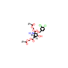 CC(C)C(=O)OCOC(=O)[C@H]1[C@@H]2[C@H](O)[C@@H](OCc3ccc(Cl)c(Cl)c3)[C@@](N)(C(=O)OCOC(=O)C(C)C)[C@H]12